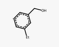 CCc1c[c]cc(CO)c1